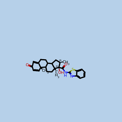 C[C@@H]1CC2C3CCC4=CC(=O)C=CC4(C)C3CCC2(C)[C@@]1(O)C(=O)Nc1nc2ccccc2s1